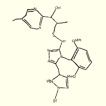 CCN1C=CC(c2nnc(NSC(C)C(O)c3ncc(C)cn3)n2-c2c(OC)cccc2OC)N1